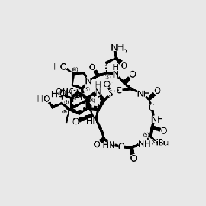 CC[C@H](C)[C@@H]1NC(=O)CNC(=O)C2Cc3c([nH]c4cc(O)ccc34)[S+]([O-])CC(NC(=O)CNC1=O)C(=O)N[C@@H](CC(N)=O)C(=O)N1C[C@H](O)C[C@]1(C=O)N[C@@H]([C@@H](C)[C@@H](O)CO)C(=O)N2